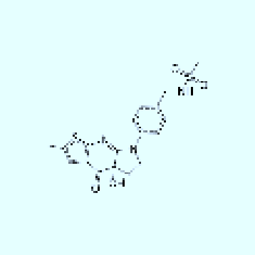 Cc1cc2c(s1)N=C1N(c3ccc(CNS(C)(=O)=O)cc3)CCC1(O)C2=O